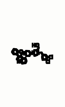 O=C(c1c(-c2ccccc2)cnc2ccccc12)N1CCC(N2CC[C@H](Cc3ccc(Cl)c(Cl)c3)[C@H](CO)C2)CC1